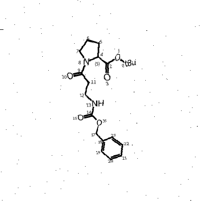 CC(C)(C)OC(=O)[C@@H]1CCCN1C(=O)CCNC(=O)OCc1ccccc1